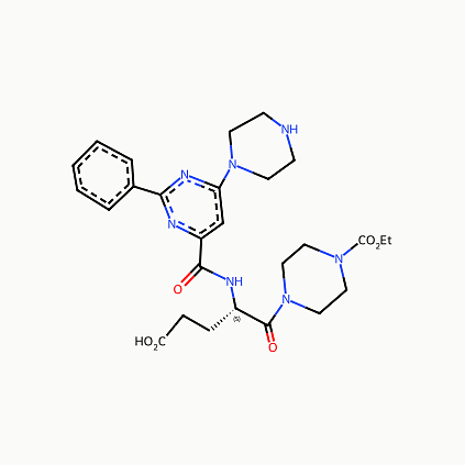 CCOC(=O)N1CCN(C(=O)[C@H](CCC(=O)O)NC(=O)c2cc(N3CCNCC3)nc(-c3ccccc3)n2)CC1